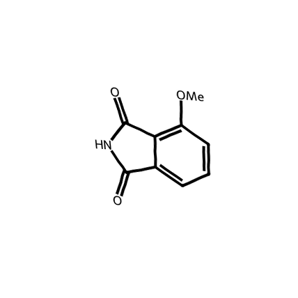 COc1cccc2c1C(=O)NC2=O